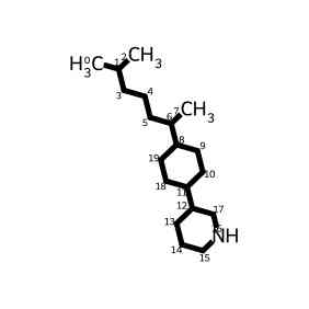 CC(C)CCCC(C)C1CCC(C2CCCNC2)CC1